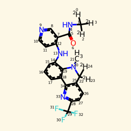 [2H]C([2H])([2H])NC(=O)c1cnccc1Nc1cccc2c1N(C)C([2H])([2H])c1ccc(C(F)(F)F)nc1-2